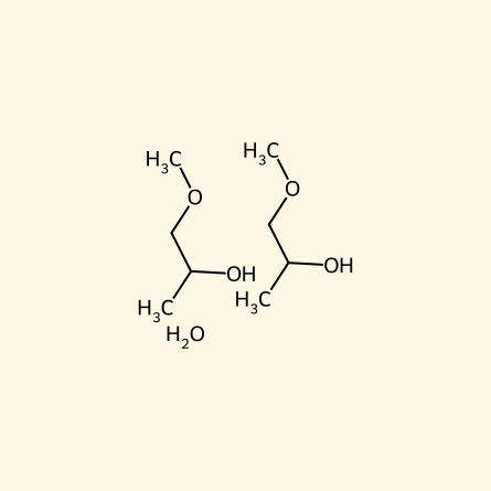 COCC(C)O.COCC(C)O.O